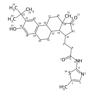 Cc1cnc(NC(=O)CCC2CC(=O)C3(C)CCC4c5cc(C(C)(C)C)c(O)cc5CCC4C23)s1